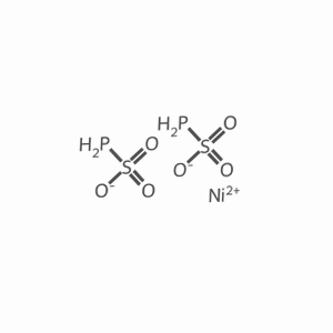 O=S(=O)([O-])P.O=S(=O)([O-])P.[Ni+2]